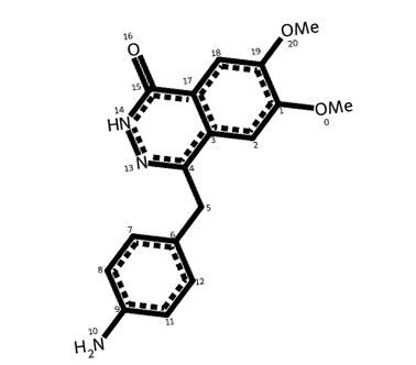 COc1cc2c(Cc3ccc(N)cc3)n[nH]c(=O)c2cc1OC